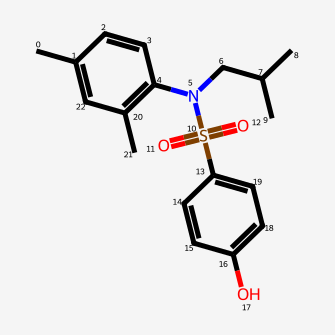 Cc1ccc(N(CC(C)C)S(=O)(=O)c2ccc(O)cc2)c(C)c1